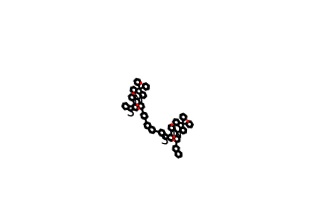 c1ccc(C2(c3ccccc3)c3ccccc3-c3c(N(c4ccc(-c5ccc(-c6ccc7ccc(-c8ccc9c(c8)sc8cccc(-c%10ccccc%10N(c%10ccc(-c%11ccc%12ccccc%12c%11)cc%10)c%10cccc%11c%10-c%10ccccc%10C%11(c%10ccccc%10)c%10ccccc%10)c89)cc7c6)cc5)cc4)c4ccccc4-c4cccc5sc6ccccc6c45)cccc32)cc1